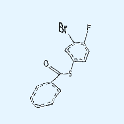 O=C(Sc1ccc(F)c(Br)c1)c1ccccc1